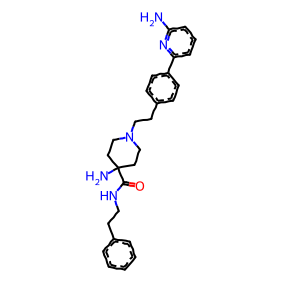 Nc1cccc(-c2ccc(CCN3CCC(N)(C(=O)NCCc4ccccc4)CC3)cc2)n1